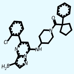 Bc1cnn2c(NC3CCN(C(=O)C4(c5ccccc5)CCCC4)CC3)cc(-c3ccccc3Cl)nc12